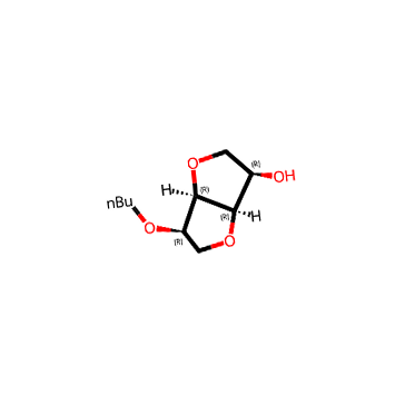 CCCCO[C@@H]1CO[C@H]2[C@@H]1OC[C@H]2O